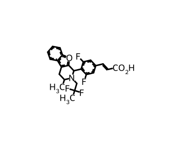 CC1Cc2c(oc3ccccc23)C(c2c(F)cc(/C=C/C(=O)O)cc2F)N1CC(C)(F)F